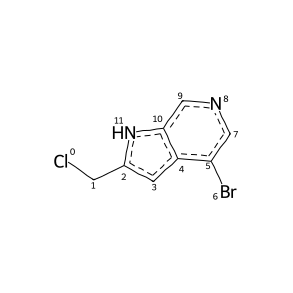 ClCc1cc2c(Br)cncc2[nH]1